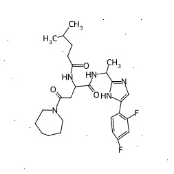 CC(C)CCC(=O)NC(CC(=O)N1CCCCCC1)C(=O)NC(C)c1ncc(-c2ccc(F)cc2F)[nH]1